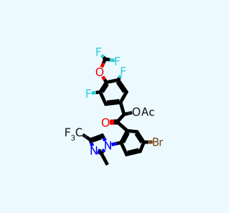 CC(=O)OC(C(=O)c1cc(Br)ccc1-n1cc(C(F)(F)F)nc1C)c1cc(F)c(OC(F)F)c(F)c1